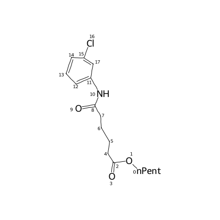 CCCCCOC(=O)CCCCC(=O)Nc1cccc(Cl)c1